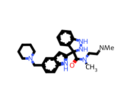 CNCCN(C)C(=O)C1(c2cc3cc(CN4CCCCC4)ccc3[nH]2)NNc2ccccc21